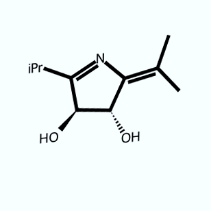 CC(C)=C1N=C(C(C)C)[C@H](O)[C@H]1O